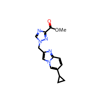 COC(=O)c1ncn(Cc2cn3cc(C4CC4)ccc3n2)n1